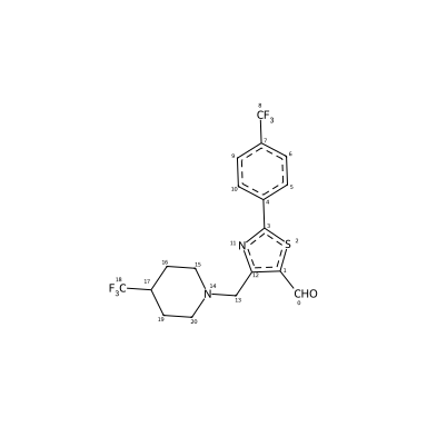 O=Cc1sc(-c2ccc(C(F)(F)F)cc2)nc1CN1CCC(C(F)(F)F)CC1